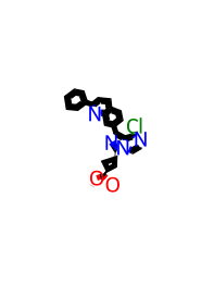 COC(=O)[C@H]1C[C@H](c2nc(-c3ccc4ccc(-c5ccccc5)nc4c3)c3c(Cl)nccn32)C1